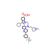 CCN1CCCC(CCN2CCn3c(c(C4CCCCC4)c4ccc(C(=O)O)cc43)-c3ccc4nc(-c5cccc(OC(F)(F)F)c5)ccc4c32)C1